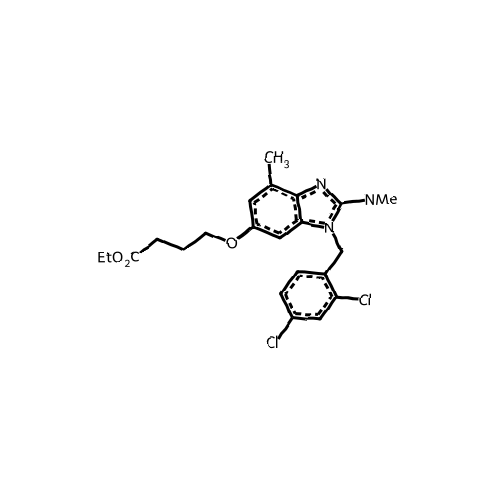 CCOC(=O)CCCOc1cc(C)c2nc(NC)n(Cc3ccc(Cl)cc3Cl)c2c1